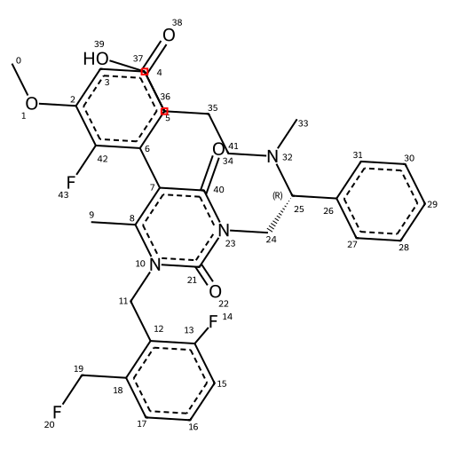 COc1cccc(-c2c(C)n(Cc3c(F)cccc3CF)c(=O)n(C[C@@H](c3ccccc3)N(C)CCCC(=O)O)c2=O)c1F